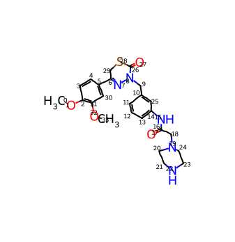 COc1ccc(C2=NN(Cc3cccc(NC(=O)CN4CCNCC4)c3)C(=O)SC2)cc1OC